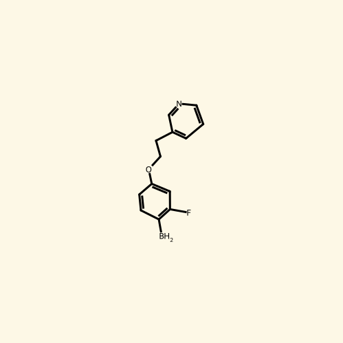 Bc1ccc(OCCc2cccnc2)cc1F